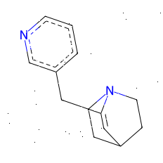 C1=C(Cc2cccnc2)N2CCC1CC2